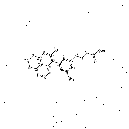 CNC(=O)CCSc1nc(N)nc(-c2c(Cl)cc3c4c(cccc24)COC3)n1